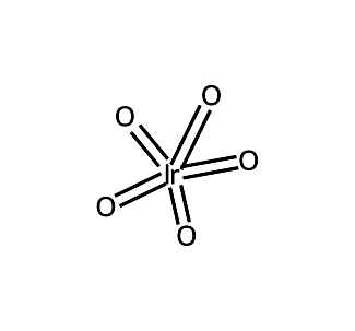 [O]=[Ir](=[O])(=[O])(=[O])=[O]